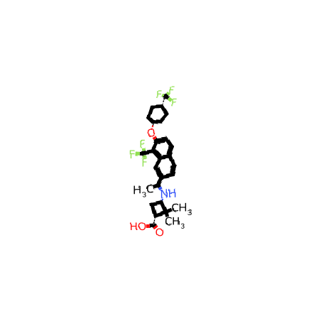 CC(N[C@H]1C[C@@H](C(=O)O)C1(C)C)c1ccc2ccc(O[C@H]3CC[C@@H](C(F)(F)F)CC3)c(C(F)(F)F)c2c1